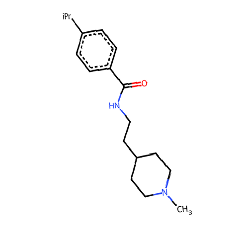 CC(C)c1ccc(C(=O)NCCC2CCN(C)CC2)cc1